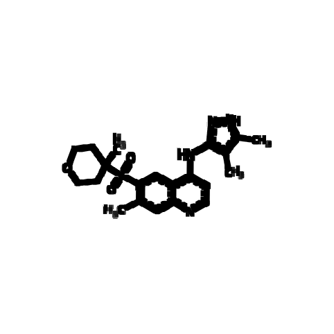 Cc1cc2nccc(Nc3n[nH]c(C)c3C)c2cc1S(=O)(=O)C1(C)CCOCC1